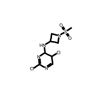 CS(=O)(=O)N1CC(NC2N=C(Cl)N=CC2Cl)C1